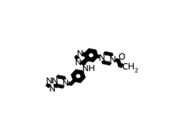 C=CC(=O)N1CCN(c2ccc3ncnc(Nc4ccc(CN5CCn6ncnc6C5)cc4)c3c2)CC1